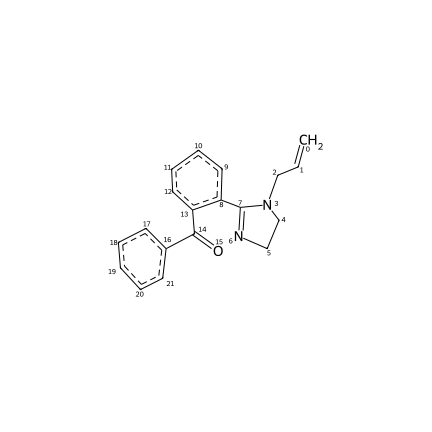 C=CCN1CCN=C1c1ccccc1C(=O)c1ccccc1